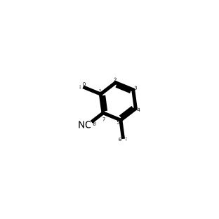 [CH]c1cccc([CH])c1C#N